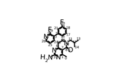 Cc1nc(N)nc2c1C(=O)N(CC(C)C)[C@@H](c1ccc(F)cc1-c1cccnc1F)C2